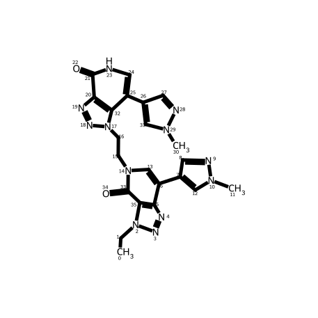 CCn1nnc2c(-c3cnn(C)c3)cn(CCn3nnc4c(=O)[nH]cc(-c5cnn(C)c5)c43)c(=O)c21